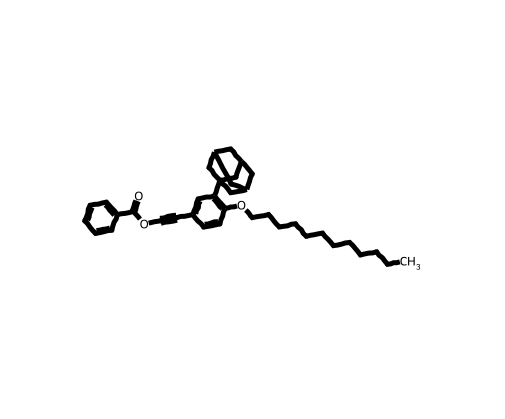 CCCCCCCCCCCCOc1ccc(C#COC(=O)c2ccccc2)cc1C12CC3CC(CC(C3)C1)C2